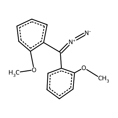 COc1ccccc1C(=[N+]=[N-])c1ccccc1OC